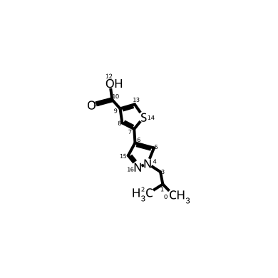 CC(C)Cn1cc(-c2cc(C(=O)O)cs2)cn1